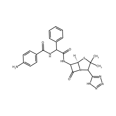 CC1(C)S[C@@H]2C(NC(=O)C(NC(=O)c3ccc(N)cc3)c3ccccc3)C(=O)N2C1c1nnn[nH]1